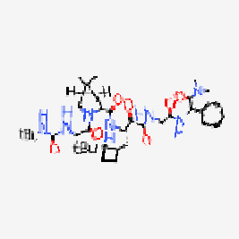 CN(C)C(=O)[C@@H](NC(=O)CNC(=O)C(=O)[C@H](CC1CCC1)NC(=O)[C@@H]1[C@@H]2[C@H](CN1C(=O)[C@@H](NC(=O)NC(C)(C)C)C(C)(C)C)C2(C)C)c1ccccc1